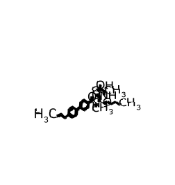 CCCCOC[C@H](C(=O)N[C@H](C)C(=O)O)N(C)C(=O)c1ccc(-c2ccc(CCCC)cc2)cc1